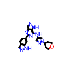 c1nn(C2CCOCC2)cc1Nc1nc(-c2ccc3cn[nH]c3c2)nc2cn[nH]c12